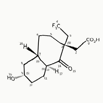 O=C(O)C[C@]1(CC(F)(F)F)CC[C@H]2C[C@@H](O)CC[C@@H]2C1=O